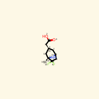 O=C(O)C[C@H]1CC2CC(F)(F)[C@H](C1)N2